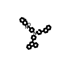 C=C(/C=C\C(=C/C)c1ccc2ccccc2c1)N(c1ccc(-c2nc3c(o2)CC2(C)C=CC=CC2=C3)cc1)c1ccc(-c2cc3ccccc3c3ccccc23)cc1